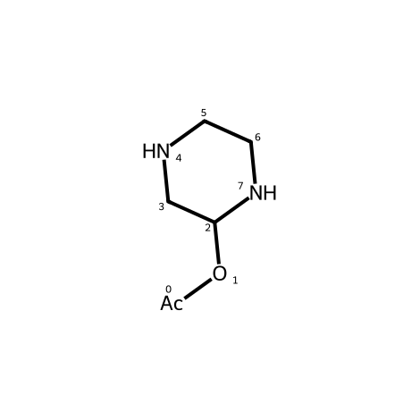 CC(=O)OC1CNCCN1